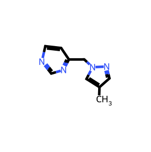 Cc1cnn(Cc2ccncn2)c1